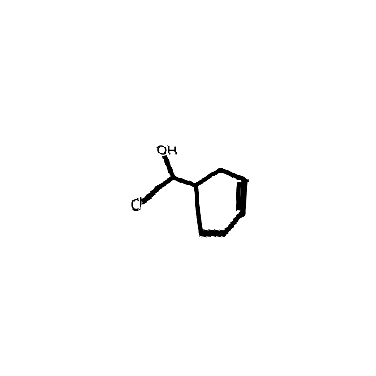 OC(Cl)C1CC=CCC1